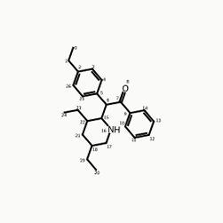 CCc1ccc(C(C(=O)c2ccccc2)C2NCC(CC)CC2CC)cc1